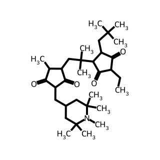 CCC1C(=O)C(CC(C)(C)C)C(C(C)(C)CC2C(=O)C(CC3CC(C)(C)N(C)C(C)(C)C3)C(=O)C2C)C1=O